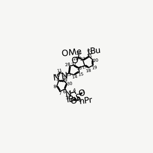 CCCS(=O)(=O)CN(c1ccc2ncn(-c3ccc(-c4cccc(C(C)(C)C)c4C(=O)OC)cc3)c2c1)C(C)CC